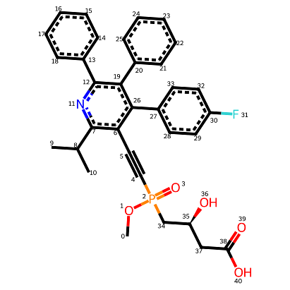 COP(=O)(C#Cc1c(C(C)C)nc(-c2ccccc2)c(-c2ccccc2)c1-c1ccc(F)cc1)C[C@@H](O)CC(=O)O